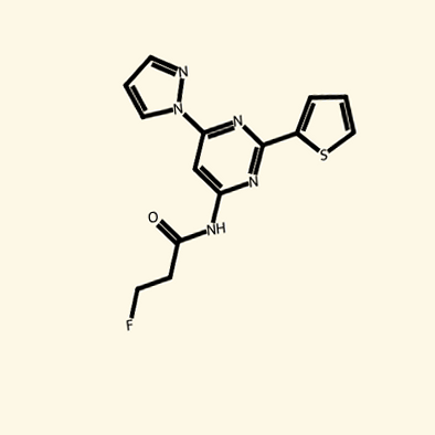 O=C(CCF)Nc1cc(-n2cccn2)nc(-c2cccs2)n1